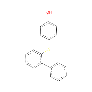 Oc1ccc(Sc2ccccc2-c2ccccc2)cc1